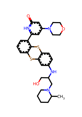 CC1CCCCN1CC(CO)Nc1ccc2c(c1)Sc1cccc(-c3cc(N4CCOCC4)cc(=O)[nH]3)c1S2